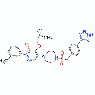 Cc1cccc(-n2ncc(N3CCN(S(=O)(=O)Cc4ccc(-c5nn[nH]n5)cc4)CC3)c(OCC3(C)CC3)c2=O)c1